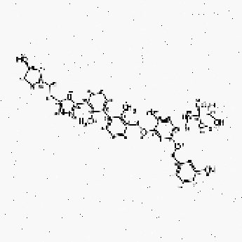 Cc1c(COc2cc(OCc3cncc(C#N)c3)c(CN[C@@](C)(CO)C(=O)O)cc2Cl)cccc1-c1cccc(-c2nnc(CCN3CC[C@@H](O)C3)o2)c1C